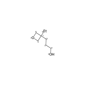 CCC1([CH]CCO)COC1